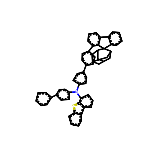 c1ccc(-c2ccc(N(c3ccc(-c4ccc(-c5cccc6c5C5(c7ccccc7-6)C6CC7CC(C6)CC5C7)cc4)cc3)c3cccc4c3sc3ccccc34)cc2)cc1